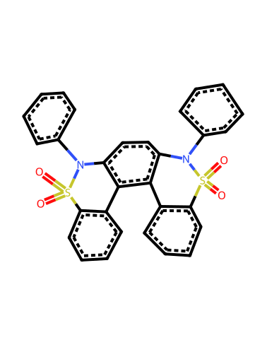 O=S1(=O)c2ccccc2-c2c(ccc3c2-c2ccccc2S(=O)(=O)N3c2ccccc2)N1c1ccccc1